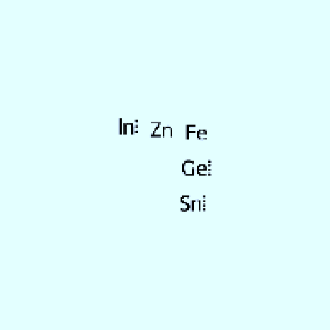 [Fe].[Ge].[In].[Sn].[Zn]